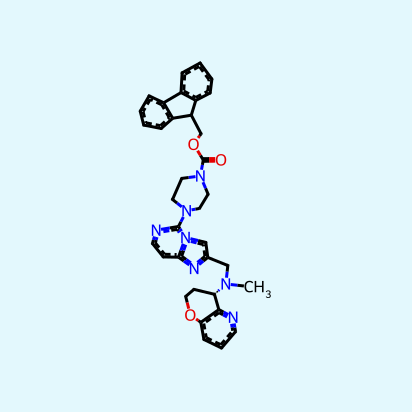 CN(Cc1cn2c(N3CCN(C(=O)OCC4c5ccccc5-c5ccccc54)CC3)nccc2n1)[C@H]1CCOc2cccnc21